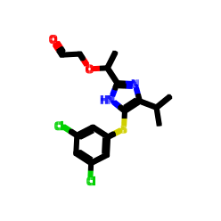 CC(C)c1nc(C(C)OCC=O)[nH]c1Sc1cc(Cl)cc(Cl)c1